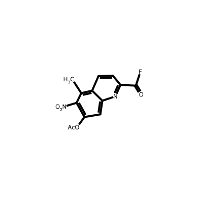 CC(=O)Oc1cc2nc(C(=O)F)ccc2c(C)c1[N+](=O)[O-]